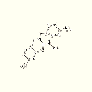 NNC(=O)N(Cc1ccc([N+](=O)[O-])cc1)Cc1ccc([N+](=O)[O-])cc1